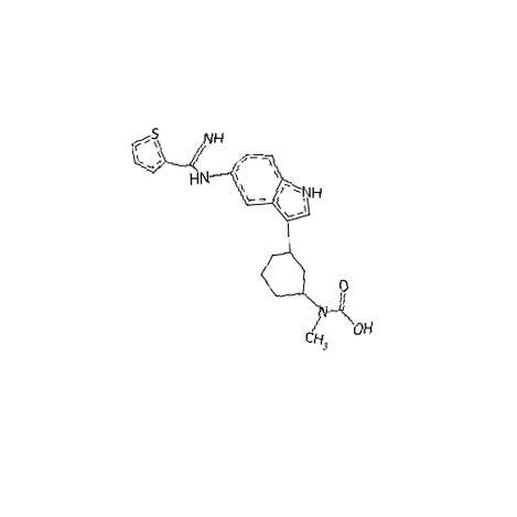 CN(C(=O)O)C1CCCC(c2c[nH]c3ccc(NC(=N)c4cccs4)cc23)C1